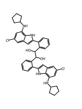 OC(c1ccccc1-c1cc2cc(Cl)cc(NC3CCCC3)c2[nH]1)C(O)c1ccccc1-c1cc2cc(Cl)cc(NC3CCCC3)c2[nH]1